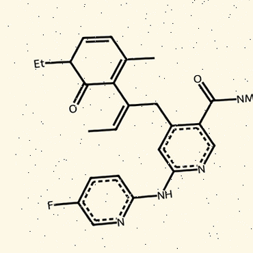 C/C=C(/Cc1cc(Nc2ccc(F)cn2)ncc1C(=O)NC)C1=C(C)C=CC(CC)C1=O